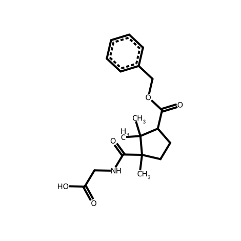 CC1(C(=O)NCC(=O)O)CCC(C(=O)OCc2ccccc2)C1(C)C